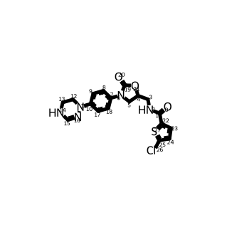 O=C(NCC1CN(c2ccc(N3CCNC=N3)cc2)C(=O)O1)c1ccc(Cl)s1